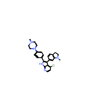 CN1CCN(c2ccc(-c3[nH]c4nccc(Cl)c4c3-c3ccc4c(c3)N(C)CC4)cc2)CC1